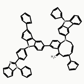 C=C1/C=C(c2ccccc2)\C=C/CN(c2ccc3c(c2)c2ccccc2n3-c2ccccc2)c2ccc(-c3ccc4c(c3)c3cc(-c5ccccc5)ccc3n4-c3ccc(-c4nc5ccccc5n4-c4ccccc4)cc3)cc21